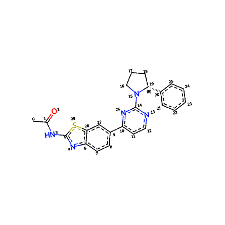 CC(=O)Nc1nc2ccc(-c3ccnc(N4CCC[C@@H]4c4ccccc4)n3)cc2s1